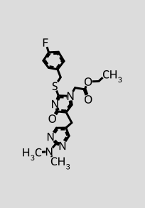 CCOC(=O)Cn1cc(Cc2cnc(N(C)C)nc2)c(=O)nc1SCc1ccc(F)cc1